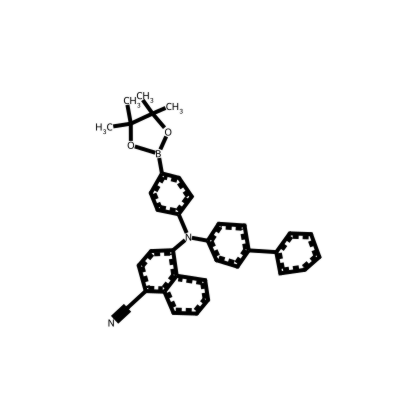 CC1(C)OB(c2ccc(N(c3ccc(-c4ccccc4)cc3)c3ccc(C#N)c4ccccc34)cc2)OC1(C)C